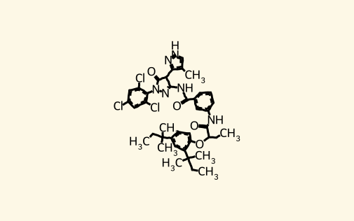 CCC(Oc1ccc(C(C)(C)CC)cc1C(C)(C)CC)C(=O)Nc1cccc(C(=O)NC2=NN(c3c(Cl)cc(Cl)cc3Cl)C(=O)C2c2n[nH]cc2C)c1